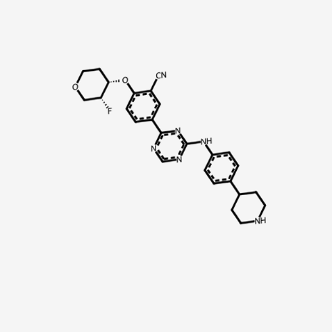 N#Cc1cc(-c2ncnc(Nc3ccc(C4CCNCC4)cc3)n2)ccc1O[C@H]1CCOC[C@H]1F